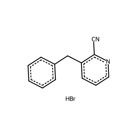 Br.N#Cc1ncccc1Cc1ccccc1